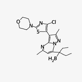 BC(CC)(CC)c1cc(C)nc2c(-c3sc(N4CCOCC4)nc3Cl)c(C)nn12